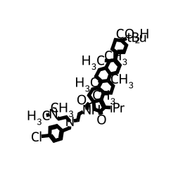 CC(C)C1=C2C3CCC4[C@@]5(C)CC=C(C6=CC[C@](C(=O)O)(C(C)(C)C)CC6)C(C)(C)C5CC[C@@]4(C)[C@]3(C)CC[C@@]2(C(=O)NCCN(CCN(C)C)Cc2ccc(Cl)cc2)CC1=O